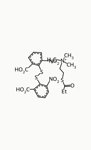 CCC(=O)SCC[N+](C)(C)C.O=C(O)c1cccc([N+](=O)[O-])c1SSc1c(C(=O)O)cccc1[N+](=O)[O-]